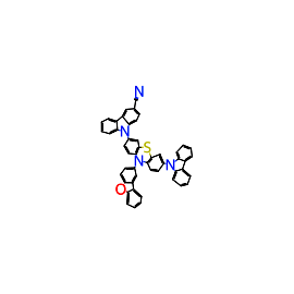 N#Cc1ccc2c(c1)c1ccccc1n2-c1ccc2c(c1)Sc1cc(-n3c4ccccc4c4ccccc43)ccc1N2c1ccc2oc3ccccc3c2c1